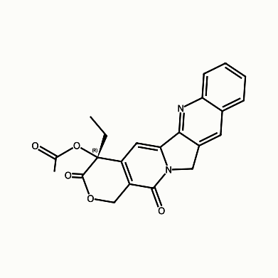 CC[C@]1(OC(C)=O)C(=O)OCc2c1cc1n(c2=O)Cc2cc3ccccc3nc2-1